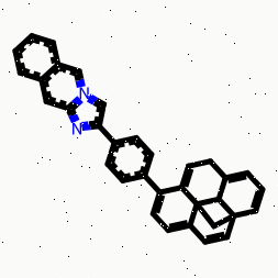 C1=CC23C=CC4=CC=C(c5ccc(-c6cn7cc8ccccc8cc7n6)cc5)C5=CCC(=C1)C2C45C3